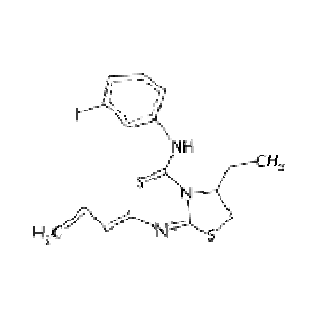 C=C/C=C/N=C1/SCC(CC)N1C(=S)Nc1cccc(I)c1